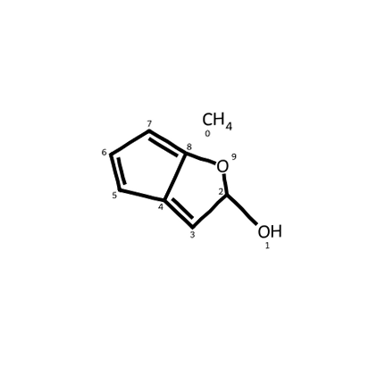 C.OC1C=C2C=CC=C2O1